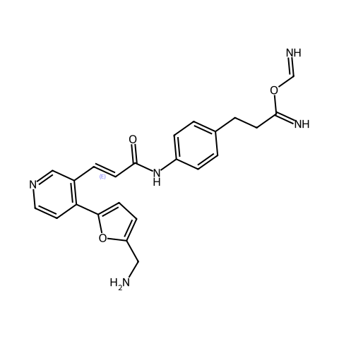 N=COC(=N)CCc1ccc(NC(=O)/C=C/c2cnccc2-c2ccc(CN)o2)cc1